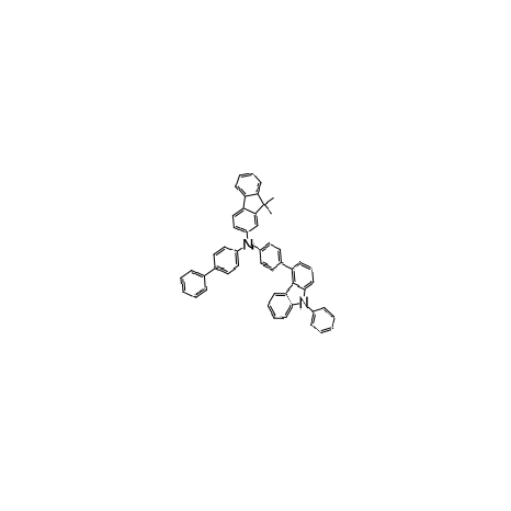 CC1(C)c2ccccc2-c2ccc(N(c3ccc(-c4ccccc4)cc3)c3ccc(-c4cccc5c4c4ccccc4n5-c4ccccc4)cc3)cc21